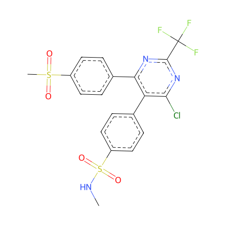 CNS(=O)(=O)c1ccc(-c2c(Cl)nc(C(F)(F)F)nc2-c2ccc(S(C)(=O)=O)cc2)cc1